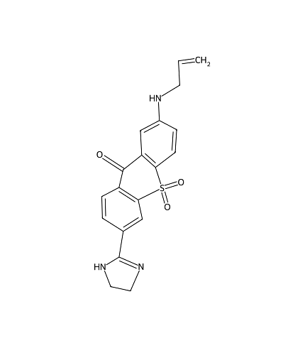 C=CCNc1ccc2c(c1)C(=O)c1ccc(C3=NCCN3)cc1S2(=O)=O